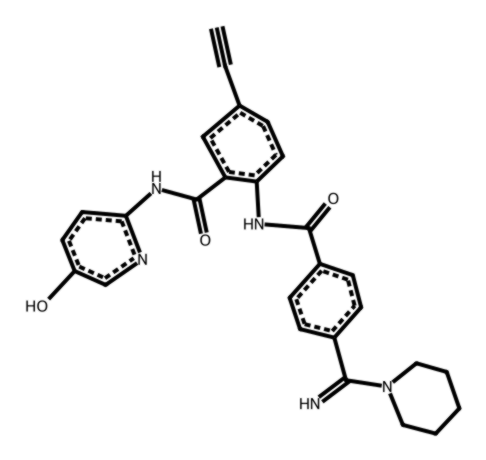 C#Cc1ccc(NC(=O)c2ccc(C(=N)N3CCCCC3)cc2)c(C(=O)Nc2ccc(O)cn2)c1